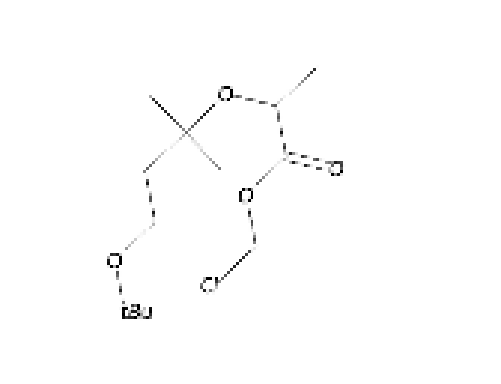 CC(OC(C)(C)CCOC(C)(C)C)C(=O)OCCl